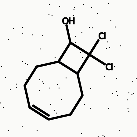 OC1C2CC/C=C\CCC2C1(Cl)Cl